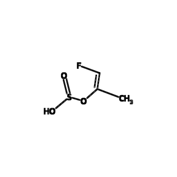 CC(=CF)OS(=O)O